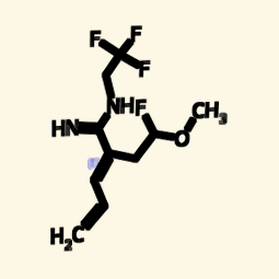 C=C/C=C(\CC(F)OC)C(=N)NCC(F)(F)F